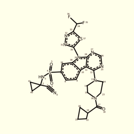 N#CC1(NS(=O)(=O)c2ccc3c4c(N5CCN(C(=O)C6CCC6)CC5)ncnc4n(-c4nnc(C(F)F)s4)c3c2)CC1